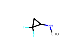 O=CNC1CC1(F)F